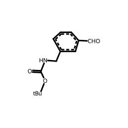 CC(C)(C)OC(=O)NCc1cccc(C=O)c1